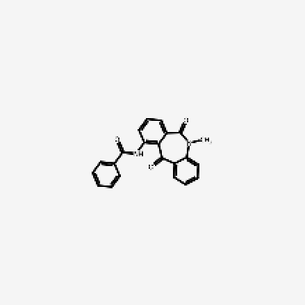 Cn1c(=O)c2cccc(NC(=O)c3ccccc3)c2c(=O)c2ccccc21